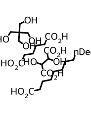 CCCCCCCCCCCCCCCCCC(=O)O.O=C(O)C(O)C(O)C(=O)O.O=C(O)CCCCC(=O)O.OCC(CO)(CO)CO